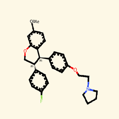 COc1ccc2c(c1)OC[C@@H](c1ccc(F)cc1)[C@@H]2c1ccc(OCCN2CCCC2)cc1